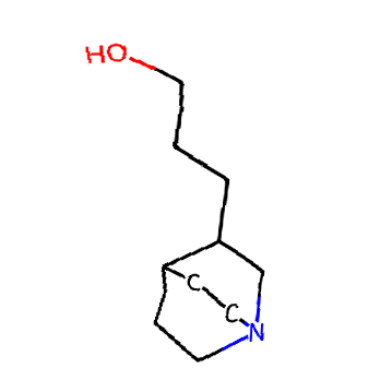 OCCCC1CN2CCC1CC2